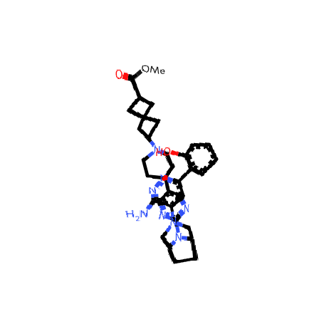 COC(=O)C1CC2(C1)CC(N1CCC(c3cnc(N4C5CCC4CN(c4cc(-c6ccccc6O)nnc4N)C5)nc3)CC1)C2